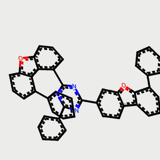 c1ccc(-c2nc(-c3ccc4c(c3)oc3c(-c5ccccc5)cccc34)nc(-c3cccc4oc5cccc(-c6ccccc6)c5c34)n2)cc1